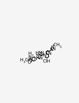 CCn1cc(-c2ccc3c(n2)CCCN3c2n[nH]c3nc(N4CCC5(CC4)CO[C@@H](C)[C@H]5N)cnc23)cn1.Cl